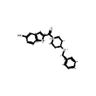 O=C(c1cc2cc(O)ccc2[nH]1)N1CCC(OCc2ccccc2)CC1